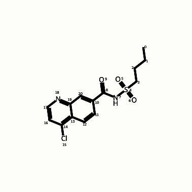 CCCCS(=O)(=O)NC(=O)c1ccc2c(Cl)ccnc2c1